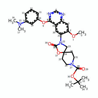 COc1cc2ncnc(Oc3cccc(N(C)C)c3)c2cc1N1CC2(CCN(C(=O)OC(C)(C)C)CC2)OC1=O